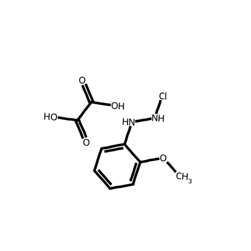 COc1ccccc1NNCl.O=C(O)C(=O)O